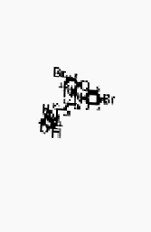 Brc1ccc2c(c1)Oc1cc(Br)cnc1N2CCCCN1C[C@H]2C[C@@H]1CO2